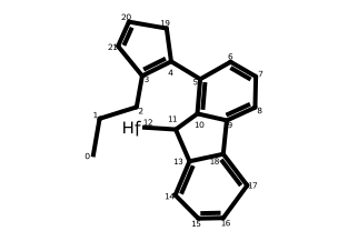 CCCC1=C(c2cccc3c2[CH]([Hf])c2ccccc2-3)CC=C1